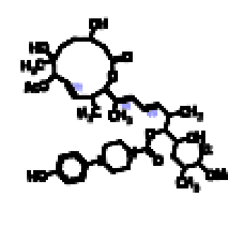 CCC(OC)C(C)CC(O)C(OC(=O)N1CCN(c2ccc(O)cc2)CC1)C(C)/C=C/C=C(\C)C1OC(=O)CC(O)CCC(C)(O)C(OC(C)=O)/C=C/C1C